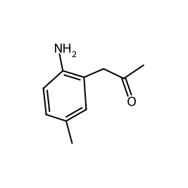 CC(=O)Cc1cc(C)ccc1N